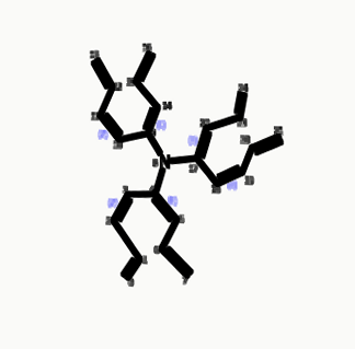 C=C/C=C\C(=C/C=C)N(C(/C=C\C=C)=C/C=C)C(/C=C\C=C)=C/C=C